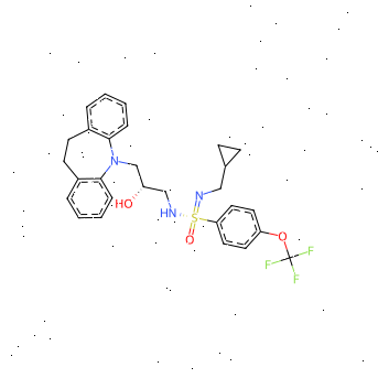 O=[S@](=NCC1CC1)(NC[C@H](O)CN1c2ccccc2CCc2ccccc21)c1ccc(OC(F)(F)F)cc1